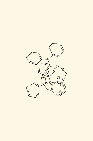 CC(C)(C)[Si](C)(C)Oc1cc2c(P(c3ccccc3)c3ccccc3)cc1CCc1ccc(cc1P(c1ccccc1)c1ccccc1)CC2